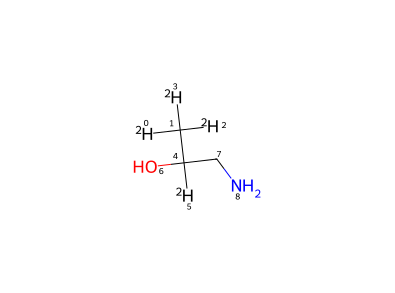 [2H]C([2H])([2H])C([2H])(O)CN